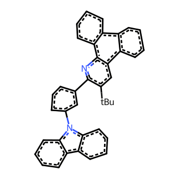 CC(C)(C)c1cc2c3ccccc3c3ccccc3c2nc1-c1cccc(-n2c3ccccc3c3ccccc32)c1